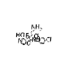 NCCC[C@@](F)(C(=O)NCc1ccc(Cl)cc1Cl)c1cccnc1O